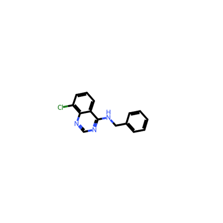 Clc1cccc2c(NCc3ccccc3)ncnc12